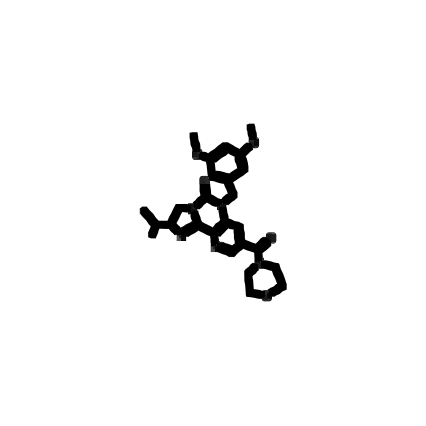 COc1cc(CN2C(=O)N3CC(C(C)C)N=C3c3ncc(C(=O)N4CCOCC4)cc32)cc(OC)c1